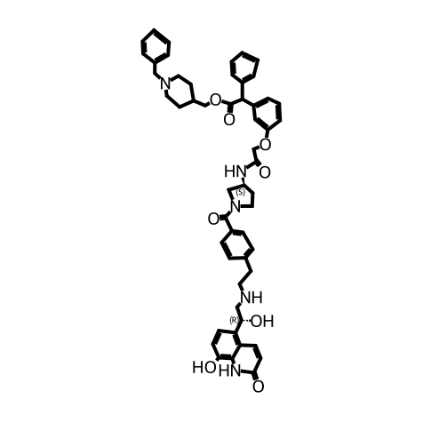 O=C(COc1cccc(C(C(=O)OCC2CCN(Cc3ccccc3)CC2)c2ccccc2)c1)N[C@H]1CCN(C(=O)c2ccc(CCNC[C@H](O)c3ccc(O)c4[nH]c(=O)ccc34)cc2)C1